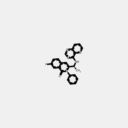 C[C@H](Nc1ncnc2cccnc12)c1cc2ccc(F)cc2c(=O)n1-c1ccccc1